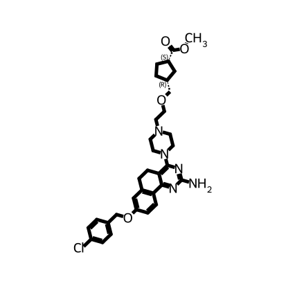 COC(=O)[C@H]1CC[C@@H](COCCN2CCN(c3nc(N)nc4c3CCc3cc(OCc5ccc(Cl)cc5)ccc3-4)CC2)C1